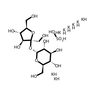 O=S(=O)(O)O.OC[C@H]1O[C@@](CO)(O[C@H]2O[C@H](CO)[C@@H](O)[C@H](O)[C@H]2O)[C@@H](O)[C@@H]1O.[KH].[KH].[KH].[KH].[KH].[KH].[KH].[KH]